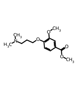 COC(=O)c1ccc(OCCCN(C)C)c(OC)c1